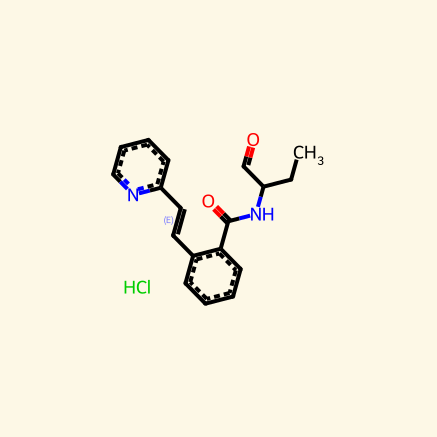 CCC(C=O)NC(=O)c1ccccc1/C=C/c1ccccn1.Cl